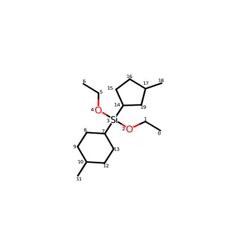 CCO[Si](OCC)(C1CCC(C)CC1)C1CCC(C)C1